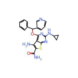 NC(=O)c1sc2nc(NC3CC3)nc(OC(c3ccccc3)c3cccnc3)c2c1N